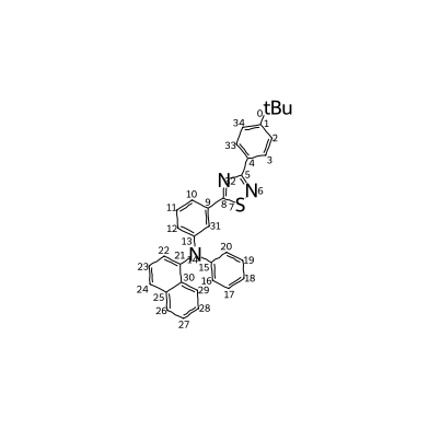 CC(C)(C)c1ccc(-c2nsc(-c3cccc(N(c4ccccc4)c4cccc5ccccc45)c3)n2)cc1